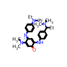 CCC(c1ccc(NC2=C/C(=N\c3ccc(N(CC)C(C)C)cc3)C(N(C)C)=CC2=O)cc1)N(C)C